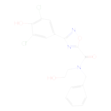 O=C(c1nc(-c2cc(Cl)c(O)c(Cl)c2)no1)N(CCO)Cc1ccccc1